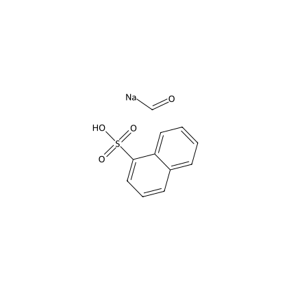 O=S(=O)(O)c1cccc2ccccc12.O=[CH][Na]